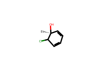 CC[C@]1(O)C=CC=CC1Cl